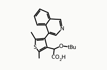 Cc1sc(C)c(C(OC(C)(C)C)C(=O)O)c1-c1cncc2ccccc12